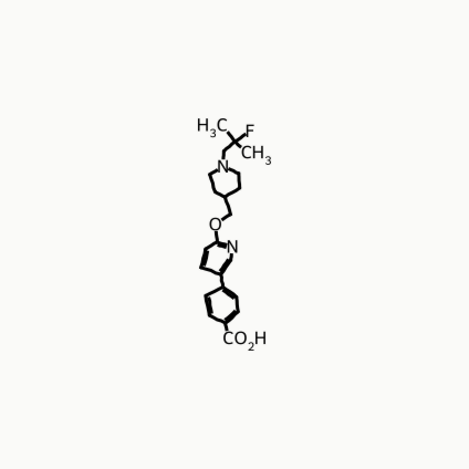 CC(C)(F)CN1CCC(COc2ccc(-c3ccc(C(=O)O)cc3)cn2)CC1